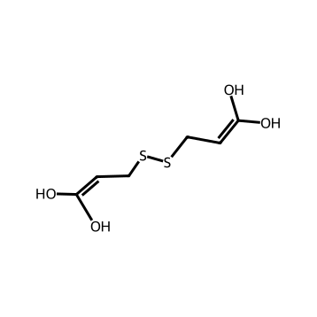 OC(O)=CCSSCC=C(O)O